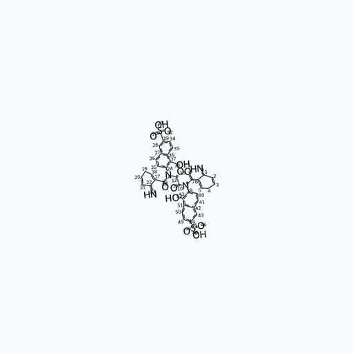 N=C1C=CCC=C1C(=O)N(C(=O)C(=O)N(C(=O)C1=CCC=CC1=N)c1ccc2cc(S(=O)(=O)O)ccc2c1O)c1ccc2cc(S(=O)(=O)O)ccc2c1O